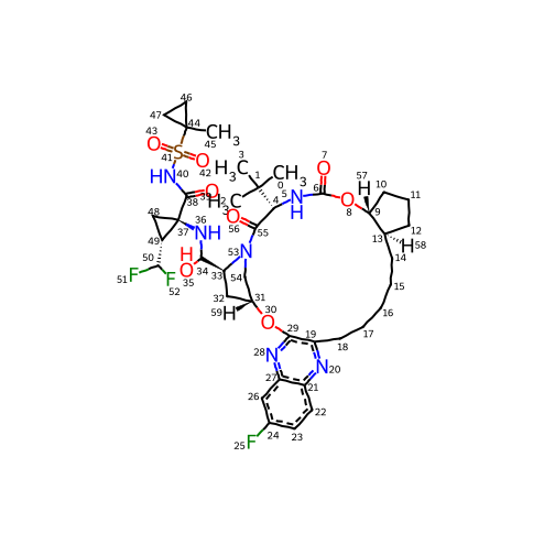 CC(C)(C)[C@@H]1NC(=O)O[C@@H]2CCC[C@H]2CCCCCc2nc3ccc(F)cc3nc2O[C@@H]2C[C@@H](C(O)N[C@]3(C(=O)NS(=O)(=O)C4(C)CC4)C[C@H]3C(F)F)N(C2)C1=O